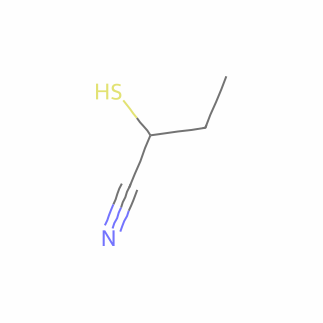 CCC(S)C#N